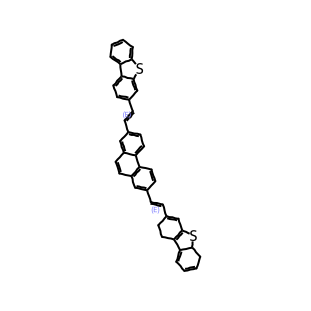 C1=CCC2SC3=C(CCC(/C=C/c4ccc5c(ccc6cc(/C=C/c7ccc8c(c7)sc7ccccc78)ccc65)c4)=C3)C2=C1